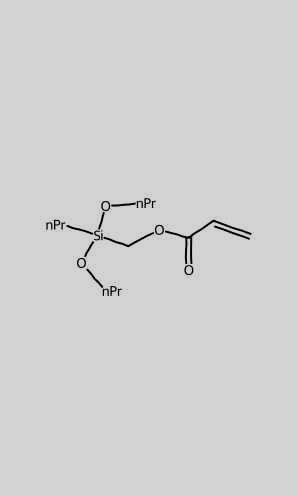 C=CC(=O)OC[Si](CCC)(OCCC)OCCC